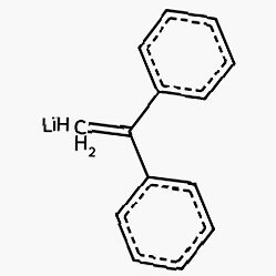 C=C(c1ccccc1)c1ccccc1.[LiH]